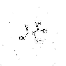 CCC(=N)N(N)C(=O)C(C)(C)C